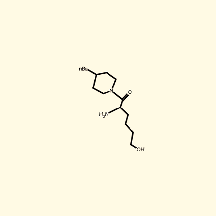 CCCCC1CCN(C(=O)C(N)CCCCO)CC1